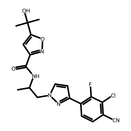 CC(Cn1ccc(-c2ccc(C#N)c(Cl)c2F)n1)NC(=O)c1cc(C(C)(C)O)on1